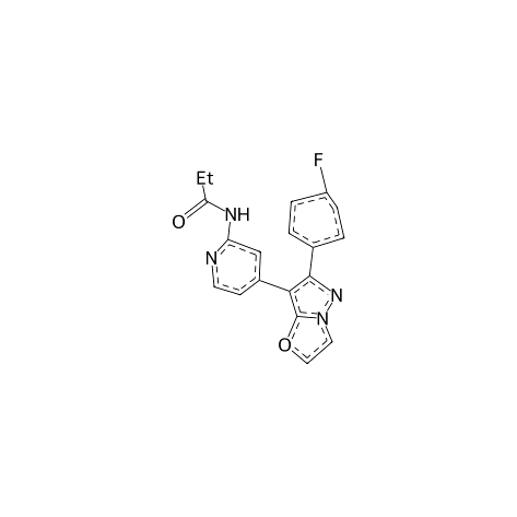 CCC(=O)Nc1cc(-c2c(-c3ccc(F)cc3)nn3ccoc23)ccn1